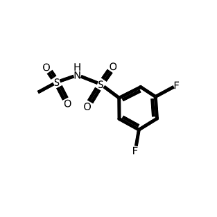 CS(=O)(=O)NS(=O)(=O)c1cc(F)cc(F)c1